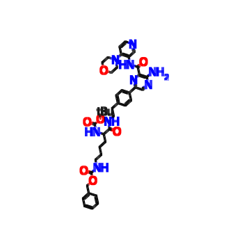 CC(C)(C)OC(=O)NC(CCCCNC(=O)OCc1ccccc1)C(=O)NCCc1ccc(-c2cnc(N)c(C(=O)Nc3cnccc3N3CCOCC3)n2)cc1